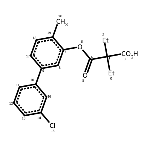 CCC(CC)(C(=O)O)C(=O)Oc1cc(-c2cccc(Cl)c2)ccc1C